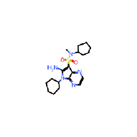 CN(C1CCCCC1)S(=O)(=O)c1c(N)n(C2CCCCC2)c2nccnc12